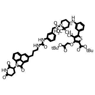 CC(C)(C)OC(=O)COc1c(C(=O)OC(C)(C)C)sc(-c2cccc(N[C@H]3CCN(S(=O)(=O)Cc4cccc(NC(=O)NCCCc5cc6c7c(cccc7c5)N(C5CCC(=O)NC5=O)C6=O)c4)C(C)(C)C3)c2)c1Cl